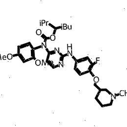 CCC(C)C(OC(=O)N(c1ccnc(Nc2ccc(OCC3CCCN(C)C3)c(F)c2)n1)c1ccc(OC)cc1OC)C(C)C